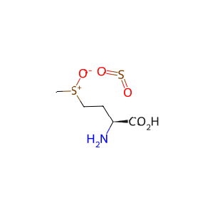 C[S+]([O-])CC[C@H](N)C(=O)O.O=S=O